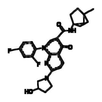 CC12CCC(NC(=O)c3cn(-c4ccc(F)cc4F)c4nc(N5CCC(O)C5)ccc4c3=O)(CC1)C2